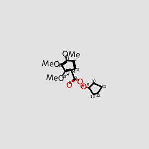 COc1ccc(C(=O)OO[C]2CCCC2)c(OC)c1OC